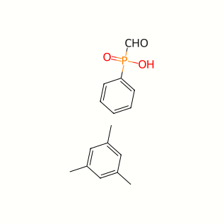 Cc1cc(C)cc(C)c1.O=CP(=O)(O)c1ccccc1